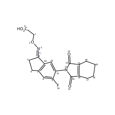 O=C(O)CO/N=C1\CCc2cc(F)c(N3C(=O)C4=C(CCCC4)C3=O)cc21